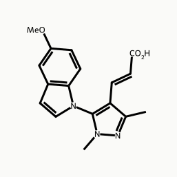 COc1ccc2c(ccn2-c2c(C=CC(=O)O)c(C)nn2C)c1